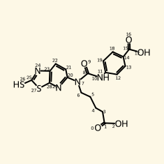 O=C(O)CCCCN(C(=O)Nc1ccc(C(=O)O)cc1)c1ccc2nc(S)sc2n1